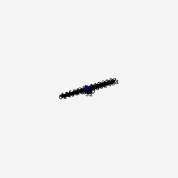 CCCCCCCCCCC[CH]CCN(CCCCCCCCCCCCCC)C(C)(C)C